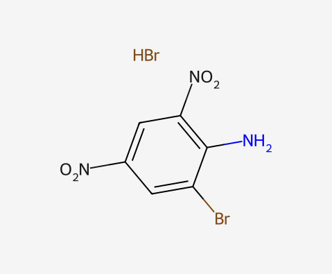 Br.Nc1c(Br)cc([N+](=O)[O-])cc1[N+](=O)[O-]